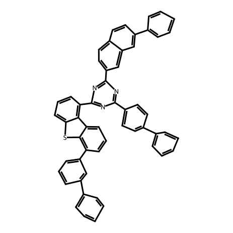 c1ccc(-c2ccc(-c3nc(-c4ccc5ccc(-c6ccccc6)cc5c4)nc(-c4cccc5sc6c(-c7cccc(-c8ccccc8)c7)cccc6c45)n3)cc2)cc1